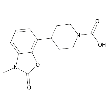 Cn1c(=O)oc2c(C3CCN(C(=O)O)CC3)cccc21